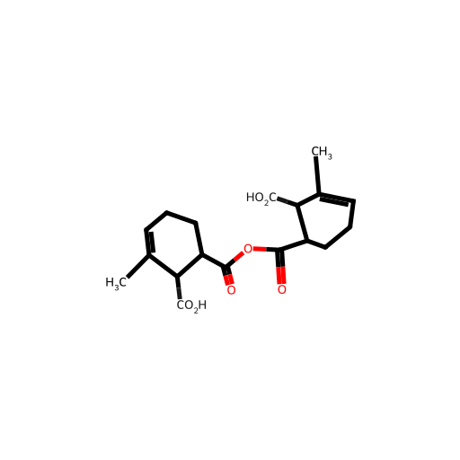 CC1=CCCC(C(=O)OC(=O)C2CCC=C(C)C2C(=O)O)C1C(=O)O